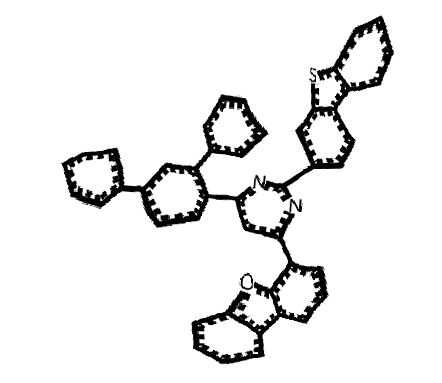 c1ccc(-c2ccc(-c3cc(-c4cccc5c4oc4ccccc45)nc(-c4ccc5c(c4)sc4ccccc45)n3)c(-c3ccccc3)c2)cc1